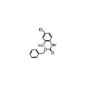 CCc1ccc(NC(=O)OCc2ccccc2)c(O)c1